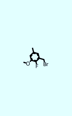 COc1cc(C)cc(CBr)c1F